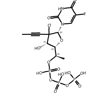 CC#CC1(Cl)[C@@H](O)[C@@H]([C@@H](C)OP(=O)(O)OP(=O)(O)OP(=O)(O)O)O[C@H]1n1cc(F)c(=O)[nH]c1=O